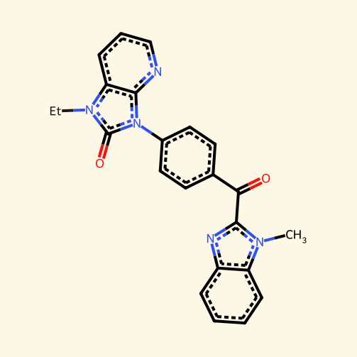 CCn1c(=O)n(-c2ccc(C(=O)c3nc4ccccc4n3C)cc2)c2ncccc21